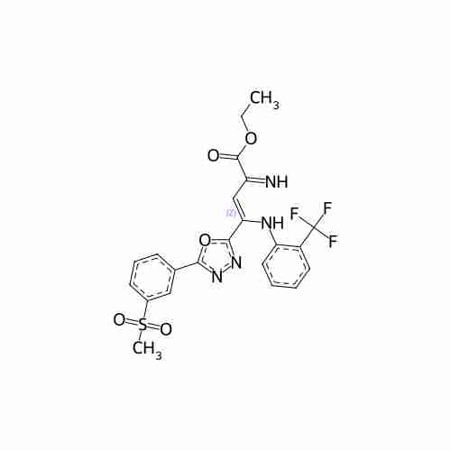 CCOC(=O)C(=N)/C=C(\Nc1ccccc1C(F)(F)F)c1nnc(-c2cccc(S(C)(=O)=O)c2)o1